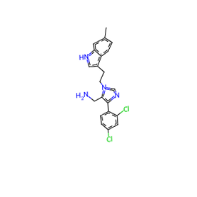 Cc1ccc2c(CCn3cnc(-c4ccc(Cl)cc4Cl)c3CN)c[nH]c2c1